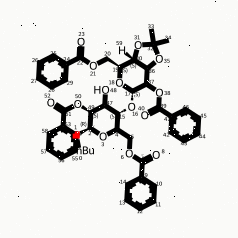 CCCCO[C@@H]1OC(COC(=O)c2ccccc2)[C@@H](O[C@@H]2O[C@@H](COC(=O)c3ccccc3)[C@@H]3OC(C)(C)OC3C2OC(=O)c2ccccc2)C(O)[C@@H]1OC(=O)c1ccccc1